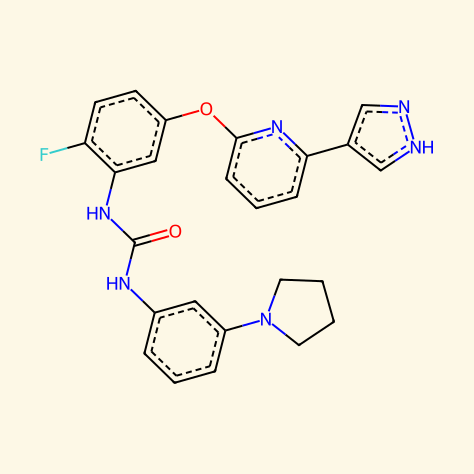 O=C(Nc1cccc(N2CCCC2)c1)Nc1cc(Oc2cccc(-c3cn[nH]c3)n2)ccc1F